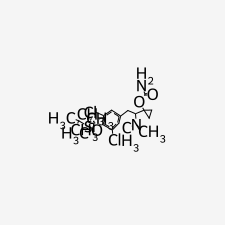 CN(C)C(Cc1cc(Cl)c(O[Si](C)(C)C(C)(C)C)c(Cl)c1)C1(OC(N)=O)CC1